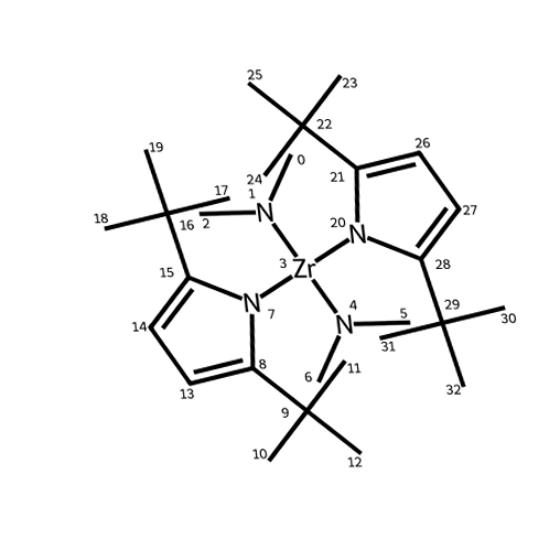 C[N](C)[Zr]([N](C)C)([n]1c(C(C)(C)C)ccc1C(C)(C)C)[n]1c(C(C)(C)C)ccc1C(C)(C)C